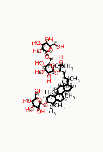 C[C@H](CC[C@@H](O[C@@H]1O[C@H](CO[C@@H]2O[C@H](CO)[C@@H](O)[C@H](O)[C@H]2O)[C@@H](O)[C@H](O)[C@H]1O)C(C)(C)O)C1CC[C@@]2(C)C3CC=C4C(CC[C@H](O[C@@H]5O[C@H](CO)[C@@H](O)[C@H](O)[C@H]5O)C4(C)C)[C@]3(C)CC[C@]12C